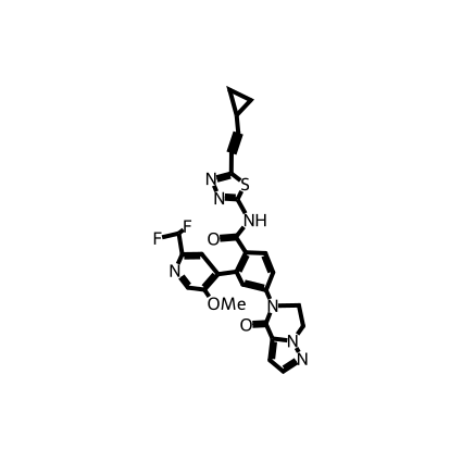 COc1cnc(C(F)F)cc1-c1cc(N2CCn3nccc3C2=O)ccc1C(=O)Nc1nnc(C#CC2CC2)s1